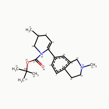 CC1CC=C(c2ccc3c(c2)CN(C)CC3)N(C(=O)OC(C)(C)C)C1